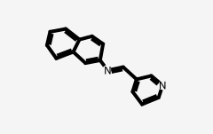 C(=N\c1ccc2ccccc2c1)/c1cccnc1